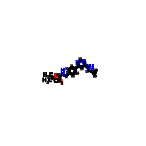 CC(C)(C)OC(=O)NCc1ccc(-c2cc(NCC3CC3)ncn2)cc1